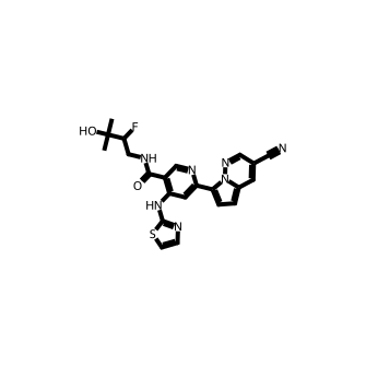 CC(C)(O)C(F)CNC(=O)c1cnc(-c2ccc3cc(C#N)cnn23)cc1Nc1nccs1